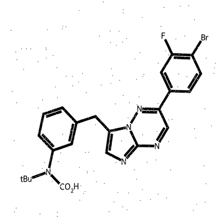 CC(C)(C)N(C(=O)O)c1cccc(Cc2cnc3ncc(-c4ccc(Br)c(F)c4)nn23)c1